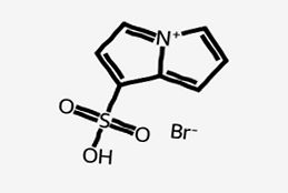 O=S(=O)(O)C1=CC=[N+]2C=CC=C12.[Br-]